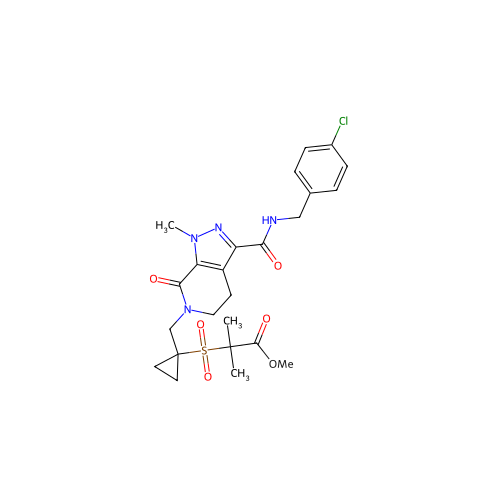 COC(=O)C(C)(C)S(=O)(=O)C1(CN2CCc3c(C(=O)NCc4ccc(Cl)cc4)nn(C)c3C2=O)CC1